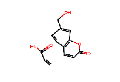 C=CC(=O)O.O=c1ccc2ccc(CO)cc2o1